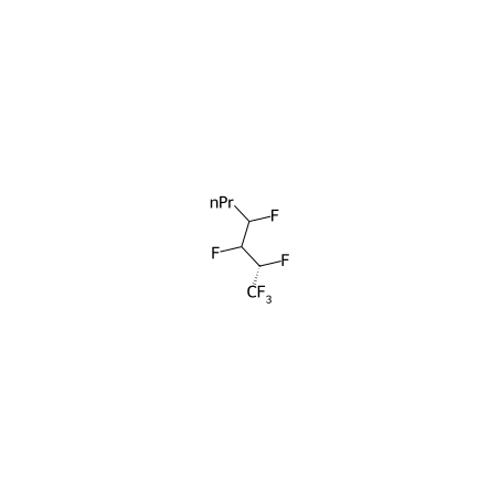 [CH2]CCC(F)C(F)[C@H](F)C(F)(F)F